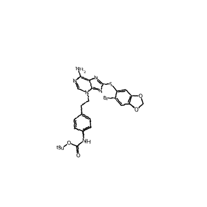 CC(C)(C)OC(=O)Nc1ccc(CCn2cnc(N)c3nc(Sc4cc5c(cc4Br)OCO5)nc2-3)cc1